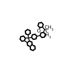 CC1(C)c2ccccc2Oc2c(-c3ccc(C4(c5ccccc5)c5ccccc5-c5cc6ccccc6cc54)cc3)cccc21